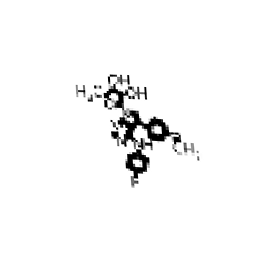 COc1ccc(-c2cn([C@@H]3O[C@H](C)[C@H](O)[C@@H]3O)c3ncnc(Nc4ccc(F)cc4)c23)cc1